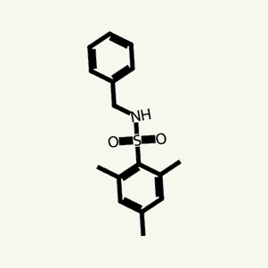 Cc1cc(C)c(S(=O)(=O)NCc2ccccc2)c(C)c1